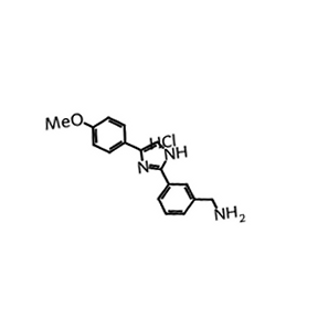 COc1ccc(-c2c[nH]c(-c3cccc(CN)c3)n2)cc1.Cl